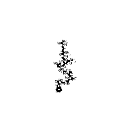 CSCC[C@H](NC(=O)[C@@H](NC(=O)CNC(=O)[C@@H]1C[C@@H](O)CN1C(=O)[C@H](CCC(N)=O)NC(=O)CNC(=O)[C@@H](N)CCCNC(=N)N)C(C)C)C(=O)NCC(=O)N[C@@H](Cc1ccccc1)C(=O)O